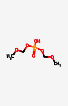 COCOP(=O)(O)OCOC